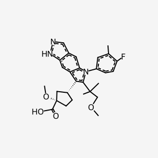 COCC(C)(C)c1c([C@@H]2CC[C@@](OC)(C(=O)O)C2)c2cc3[nH]ncc3cc2n1-c1ccc(F)c(C)c1